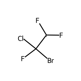 F[C](F)C(F)(Cl)Br